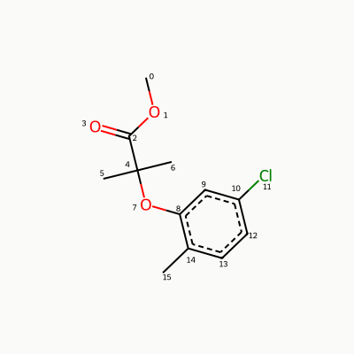 COC(=O)C(C)(C)Oc1cc(Cl)ccc1C